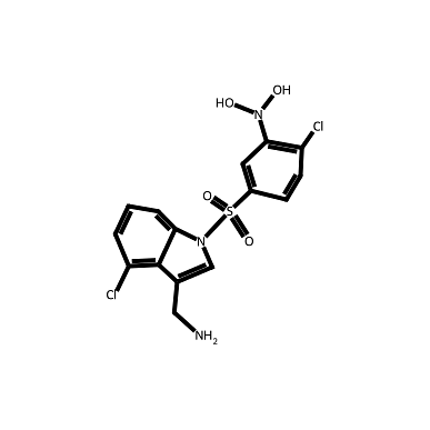 NCc1cn(S(=O)(=O)c2ccc(Cl)c(N(O)O)c2)c2cccc(Cl)c12